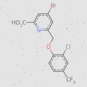 O=C(O)c1cc(Br)cc(COc2ccc(C(F)(F)F)cc2Cl)n1